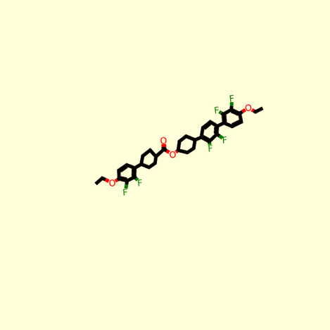 CCOc1ccc(-c2ccc(C3CCC(OC(=O)C4CCC(c5ccc(OCC)c(F)c5F)CC4)CC3)c(F)c2F)c(F)c1F